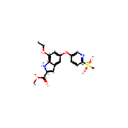 CCOc1cc(Oc2ccc(S(C)(=O)=O)nc2)cc2cc(C(=O)OC)[nH]c12